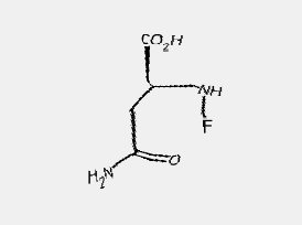 NC(=O)C[C@H](NF)C(=O)O